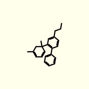 CCCc1ccc(-c2ccccc2)c(C2(C)C=CC=C(C)C2)c1